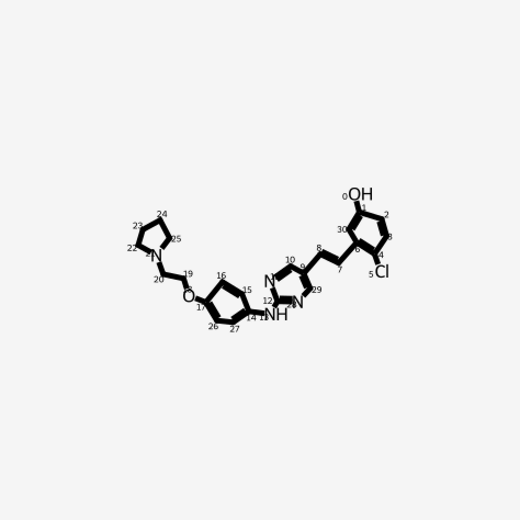 Oc1ccc(Cl)c(C=Cc2cnc(Nc3ccc(OCCN4CCCC4)cc3)nc2)c1